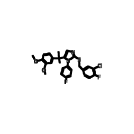 COc1ccc(C(C)(C)c2cnc(SCc3ccc(F)c(Cl)c3)n2-c2ccc(F)cc2)cc1OC